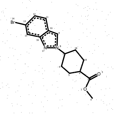 COC(=O)C1CCC(n2cc3ccc(Br)cc3n2)CC1